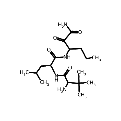 CCCC(NC(=O)[C@H](CC(C)C)NC(=O)C(N)C(C)(C)C)C(=O)C(N)=O